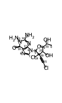 C[C@H](O)[C@H]1O[C@@H](n2cnc3c(=O)n(N)c(N)nc32)[C@@](Cl)(C#CCl)C1O